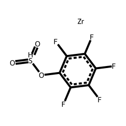 O=[SH](=O)Oc1c(F)c(F)c(F)c(F)c1F.[Zr]